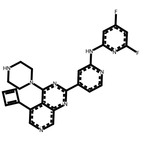 Fc1cc(F)nc(Nc2cc(-c3nc(N4CCNCC4)c4c(C5=CC=C5)cncc4n3)ccn2)c1